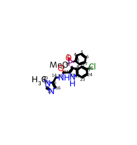 COP(=O)(c1ccccc1)c1c(C(=O)NCc2cncn2C)[nH]c2ccc(Cl)cc12